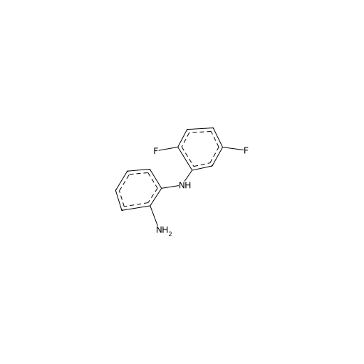 Nc1ccccc1Nc1cc(F)ccc1F